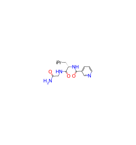 CC(C)C[C@H](NC(=O)c1cccnc1)C(=O)NCC(N)=O